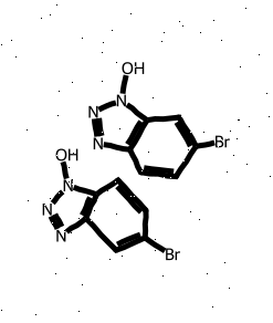 On1nnc2cc(Br)ccc21.On1nnc2ccc(Br)cc21